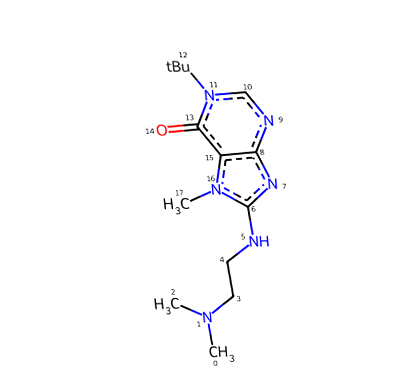 CN(C)CCNc1nc2ncn(C(C)(C)C)c(=O)c2n1C